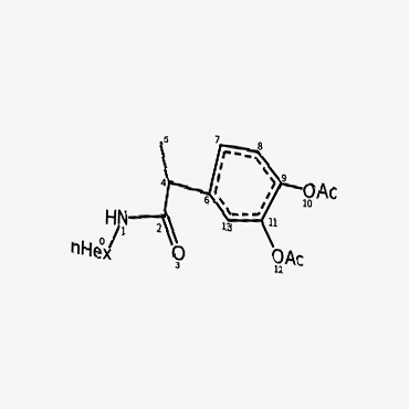 CCCCCCNC(=O)C(C)c1ccc(OC(C)=O)c(OC(C)=O)c1